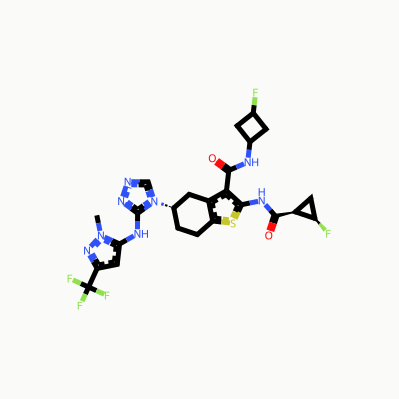 Cn1nc(C(F)(F)F)cc1Nc1nncn1[C@H]1CCc2sc(NC(=O)[C@H]3C[C@H]3F)c(C(=O)NC3CC(F)C3)c2C1